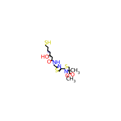 COC(=O)[C@]1(C)CSC(c2csc(CNC(=O)C[C@H](O)/C=C/CCS)n2)=N1